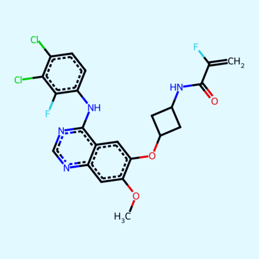 C=C(F)C(=O)NC1CC(Oc2cc3c(Nc4ccc(Cl)c(Cl)c4F)ncnc3cc2OC)C1